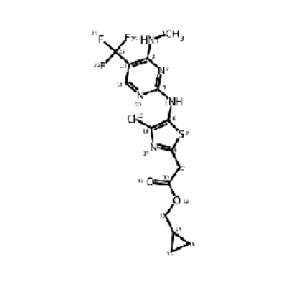 CNc1nc(Nc2sc(CC(=O)OCC3CC3)nc2Cl)ncc1C(F)(F)F